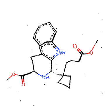 COC(=O)CCC1([C@@H]2N[C@@H](C(=O)OC)Cc3c2[nH]c2ccccc32)CCC1